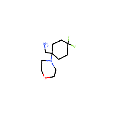 NCC1(N2CCOCC2)CCC(F)(F)CC1